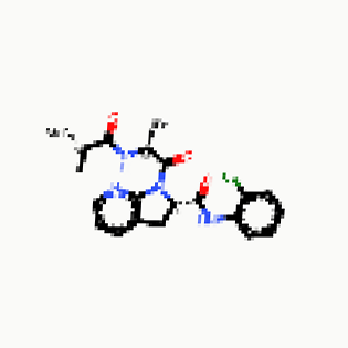 CN[C@@H](C)C(=O)N[C@H](C(=O)N1c2ncccc2C[C@H]1C(=O)Nc1ccccc1Cl)C(C)C